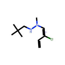 C=C/C(Cl)=C\N(C)NCC(C)(C)C